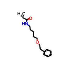 CCC(=O)NCCCCCOCCc1ccccc1